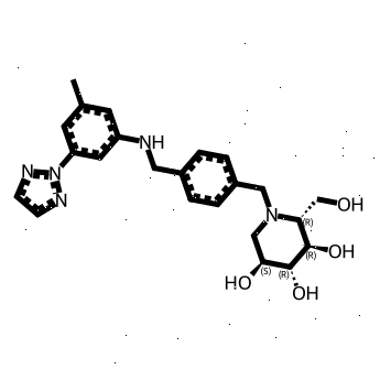 Cc1cc(NCc2ccc(CN3C[C@H](O)[C@@H](O)[C@H](O)[C@H]3CO)cc2)cc(-n2nccn2)c1